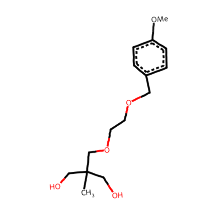 COc1ccc(COCCOCC(C)(CO)CO)cc1